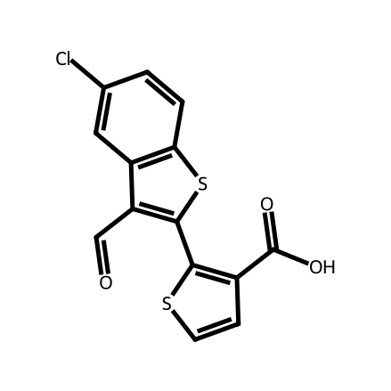 O=Cc1c(-c2sccc2C(=O)O)sc2ccc(Cl)cc12